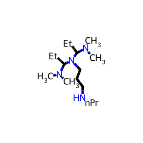 CCCNCCCN(C(CC)N(C)C)C(CC)N(C)C